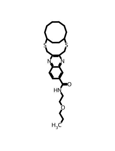 CCCOCCNC(=O)c1ccc2nc3c(nc2c1)CSC1CCCCCCC(CC1)SC3